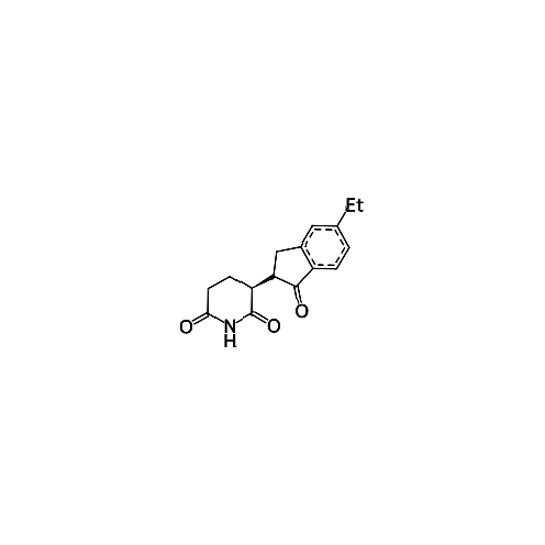 CCc1ccc2c(c1)CC([C@@H]1CCC(=O)NC1=O)C2=O